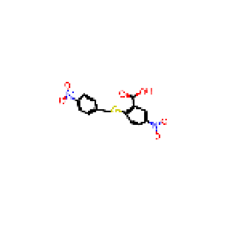 O=C(O)c1cc([N+](=O)[O-])ccc1SCc1ccc([N+](=O)[O-])cc1